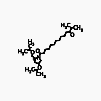 CC(C)OC[C@@H]1CC(OC(C)C)CN1C(=O)CCCCCCCCCCC(=O)C(C)C